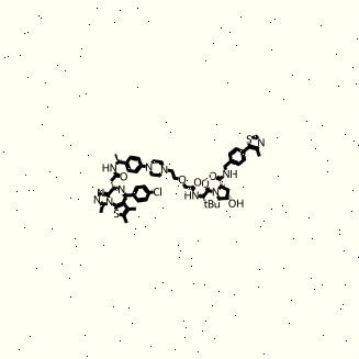 Cc1ncsc1-c1ccc(CNC(=O)[C@@H]2C[C@@H](O)CN2C(=O)[C@@H](NC(=O)COCCN2CCN(c3ccc([C@H](C)NC(=O)C[C@@H]4N=C(c5ccc(Cl)cc5)c5c(sc(C)c5C)-n5c(C)nnc54)cc3)CC2)C(C)(C)C)cc1